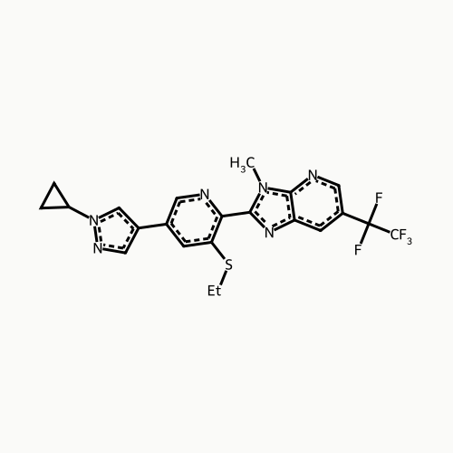 CCSc1cc(-c2cnn(C3CC3)c2)cnc1-c1nc2cc(C(F)(F)C(F)(F)F)cnc2n1C